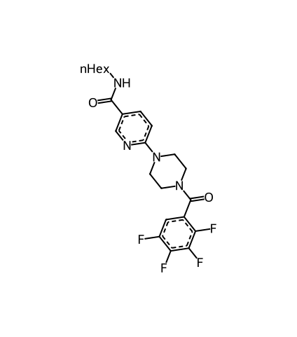 CCCCCCNC(=O)c1ccc(N2CCN(C(=O)c3cc(F)c(F)c(F)c3F)CC2)nc1